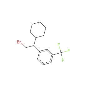 FC(F)(F)c1cccc(C(CBr)C2CCCCC2)c1